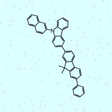 CC1(C)c2cc(-c3ccccc3)ccc2-c2ccc(-c3ccc4c(c3)c3ccccc3n4-c3ccc4ccccc4c3)cc21